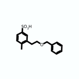 Cc1ccc(S(=O)(=O)O)cc1CCOCc1ccccc1